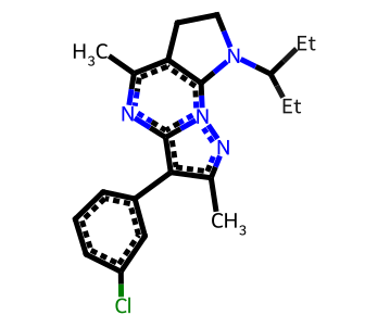 CCC(CC)N1CCc2c(C)nc3c(-c4cccc(Cl)c4)c(C)nn3c21